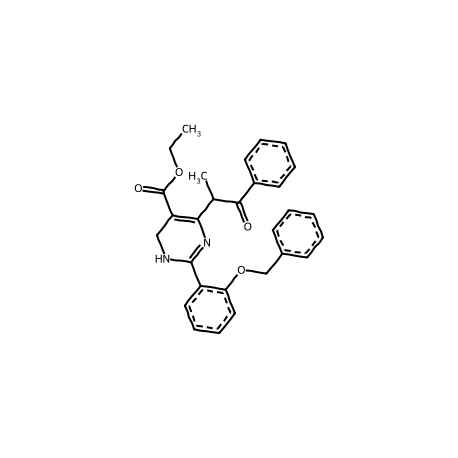 CCOC(=O)C1=C(C(C)C(=O)c2ccccc2)N=C(c2ccccc2OCc2ccccc2)NC1